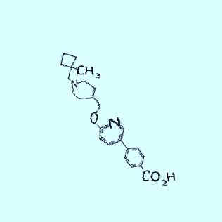 CC1(CN2CCC(COc3ccc(-c4ccc(C(=O)O)cc4)cn3)CC2)CCC1